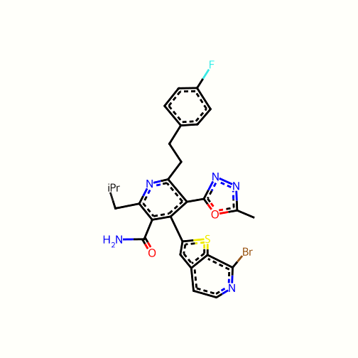 Cc1nnc(-c2c(CCc3ccc(F)cc3)nc(CC(C)C)c(C(N)=O)c2-c2cc3ccnc(Br)c3s2)o1